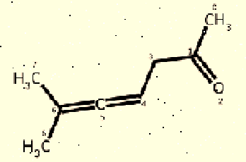 CC(=O)CC=C=C(C)C